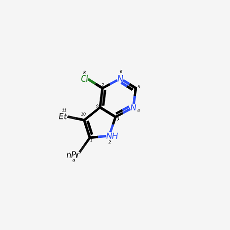 CCCc1[nH]c2ncnc(Cl)c2c1CC